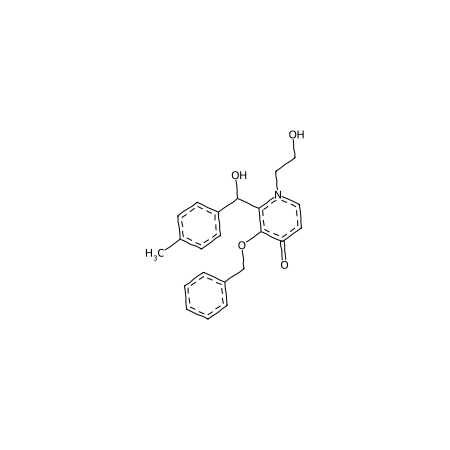 Cc1ccc(C(O)c2c(OCc3ccccc3)c(=O)ccn2CCO)cc1